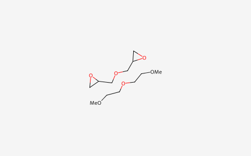 C(OCC1CO1)C1CO1.COCCOCCOC